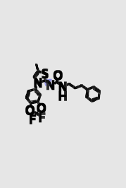 Cc1cn(-c2ccc3c(c2)OC(F)(F)O3)/c(=N/C(=O)NCCCc2ccccc2)s1